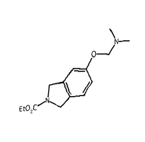 CCOC(=O)N1Cc2ccc(OCN(C)C)cc2C1